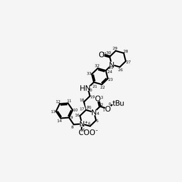 CC(C)(C)OC(=O)N1CC[N+](Cc2ccccc2)(C(=O)[O-])C[C@H]1CCNc1ccc(N2CCCCC2=O)cc1